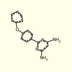 Nc1cc(N)nc(-c2ccc(Oc3ccccc3)cc2)n1